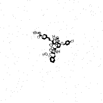 CC(C)(C)OC(=O)N1CCC(CC[C@@H](NS(C)(=O)=O)C(=O)N2C[C@H](OCc3ccc(Cl)cc3)C[C@H]2C(=O)N[C@@H](Cc2ccccc2)C(O)C(=O)O)CC1